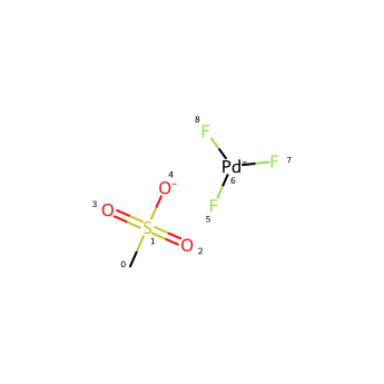 CS(=O)(=O)[O-].[F][Pd-]([F])[F]